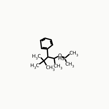 CC(O[SiH](C)C)C(c1cc[c]cc1)C(C)(C)C